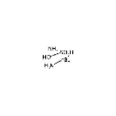 CCCCN.N.O=S(=O)(O)O